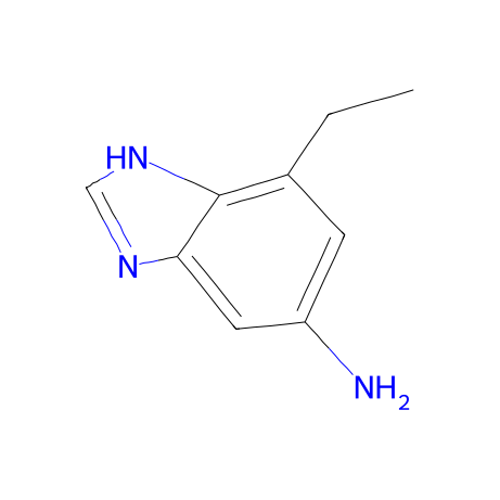 CCc1cc(N)cc2nc[nH]c12